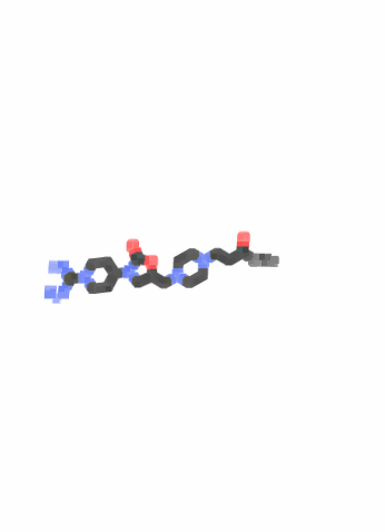 COC(=O)CCN1CCN(CC2CN(C3CCN(C(=N)N)CC3)C(=O)O2)CC1